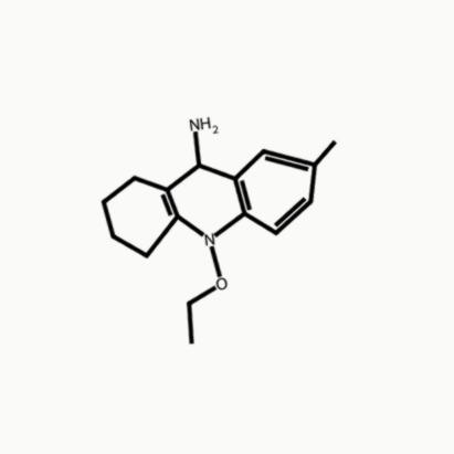 CCON1C2=C(CCCC2)C(N)c2cc(C)ccc21